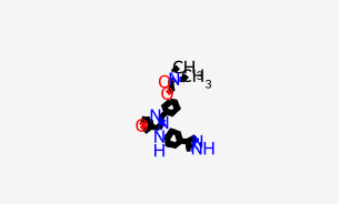 CCN(CC)C(=O)COc1cccc(-c2nc3c(c(Nc4ccc(-c5cn[nH]c5)cc4)n2)COC3)c1